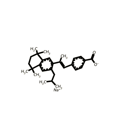 CC(=Cc1ccc(C(=O)[O-])cc1)c1cc2c(cc1CC(C)C)C(C)(C)CCC2(C)C.[Na+]